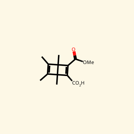 COC(=O)C1=C(C(=O)O)C2(C)C(C)=C(C)C12C